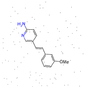 COc1cccc(/C=C/c2ccc(N)nc2)c1